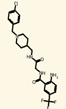 Nc1ccc(C(F)(F)F)cc1C(=O)NCC(=O)NCC1CCN(Cc2ccc(Cl)cc2)CC1